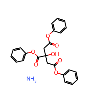 N.O=C(CC(O)(CC(=O)Oc1ccccc1)C(=O)Oc1ccccc1)Oc1ccccc1